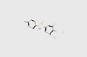 Cc1ccc(S(=O)(=O)c2cc(O)c(O)c(O)c2)cc1